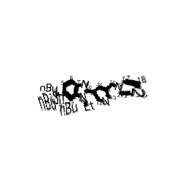 CCC[CH2][Sn]([CH2]CCC)([CH2]CCC)[c]1ccc2nc(-c3cncc(Cn4ccnc4)c3)n(CC)c2c1